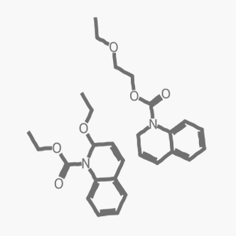 CCOC(=O)N1c2ccccc2C=CC1OCC.CCOCCOC(=O)N1CC=Cc2ccccc21